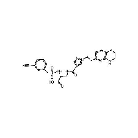 N#Cc1cccc(CS(=O)(=O)NC(CNC(=O)c2cnn(CCc3ccc4c(n3)NCCC4)c2)C(=O)O)c1